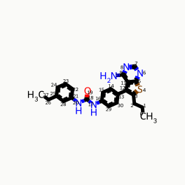 CCCc1sc2ncnc(N)c2c1-c1ccc(NC(=O)Nc2cccc(CC)c2)cc1